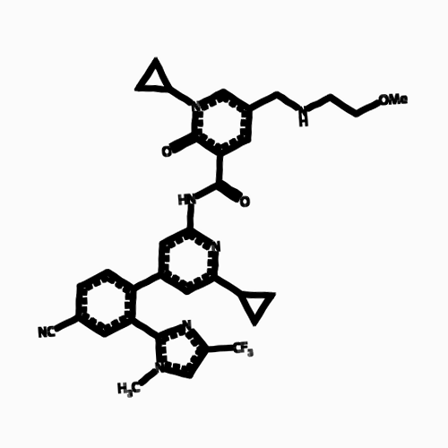 COCCNCc1cc(C(=O)Nc2cc(-c3ccc(C#N)cc3-c3nc(C(F)(F)F)cn3C)cc(C3CC3)n2)c(=O)n(C2CC2)c1